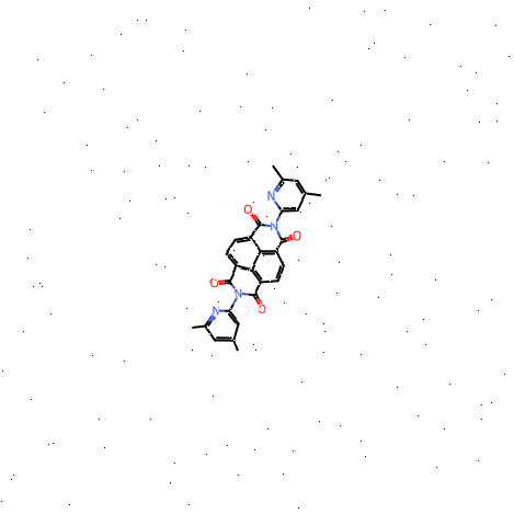 Cc1cc(C)nc(N2C(=O)c3ccc4c5c(ccc(c35)C2=O)C(=O)N(c2cc(C)cc(C)n2)C4=O)c1